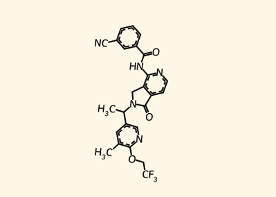 Cc1cc(C(C)N2Cc3c(ccnc3NC(=O)c3cccc(C#N)c3)C2=O)cnc1OCC(F)(F)F